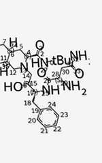 CC(C)(C)NC(=O)[C@@H]1C[C@@H]2CCCC[C@@H]2CN1C[C@@H](O)[C@H](Cc1ccccc1)NC(=O)[C@@H](N)CC(N)=O